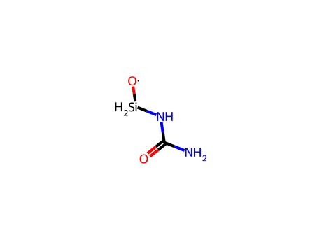 NC(=O)N[SiH2][O]